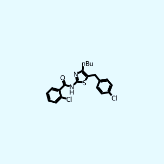 CCCCc1nc(NC(=O)c2ccccc2Cl)sc1Cc1ccc(Cl)cc1